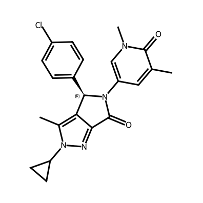 Cc1cc(N2C(=O)c3nn(C4CC4)c(C)c3[C@H]2c2ccc(Cl)cc2)cn(C)c1=O